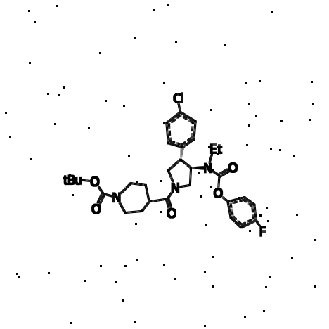 CCN(C(=O)Oc1ccc(F)cc1)[C@H]1CN(C(=O)C2CCN(C(=O)OC(C)(C)C)CC2)C[C@@H]1c1ccc(Cl)cc1